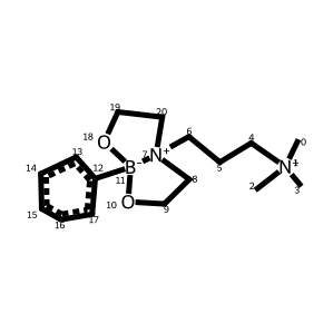 C[N+](C)(C)CCC[N+]12CCO[B-]1(c1ccccc1)OCC2